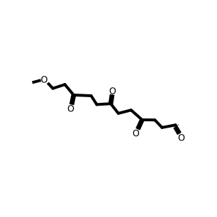 COCCC(=O)CCC(=O)CCC(=O)CC[C]=O